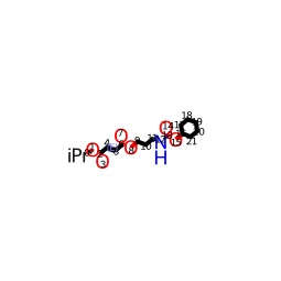 CC(C)OC(=O)/C=C/C(=O)OCCCNC(=O)OC1CCCCC1